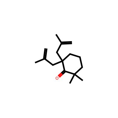 C=C(C)CC1(CC(=C)C)CCCC(C)(C)C1=O